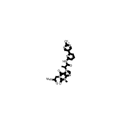 CNC(=O)Cn1c(=O)c2c(ncn2C(C)C(=O)Nc2cccc(-c3cnc(C(F)(F)F)nc3)n2)n(C)c1=O